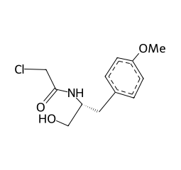 COc1ccc(C[C@H](CO)NC(=O)CCl)cc1